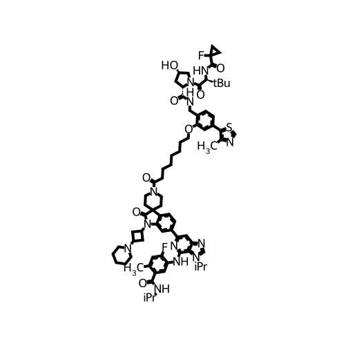 Cc1cc(F)c(Nc2nc(-c3ccc4c(c3)N(C3CC(N5CCCCC5)C3)C(=O)C43CCN(C(=O)CCCCCCCOc4cc(-c5scnc5C)ccc4CNC(=O)[C@@H]4C[C@@H](O)CN4C(=O)[C@@H](NC(=O)C4(F)CC4)C(C)(C)C)CC3)cc3ncn(C(C)C)c23)cc1C(=O)NC(C)C